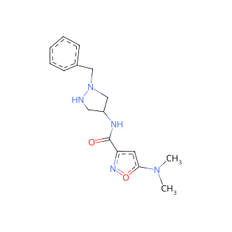 CN(C)c1cc(C(=O)NC2CNN(Cc3ccccc3)C2)no1